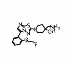 NCC1(O)CCN(c2nn3c(-c4ccccc4OCCF)cnc3s2)CC1